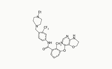 CCN1CCN(Cc2ccc(NC(=O)c3cccc(Oc4ncnc5c4OCCN5)c3C)cc2C(F)(F)F)CC1